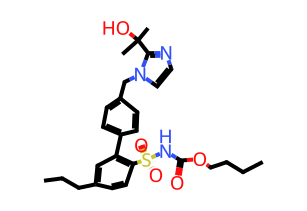 CCCCOC(=O)NS(=O)(=O)c1ccc(CCC)cc1-c1ccc(Cn2ccnc2C(C)(C)O)cc1